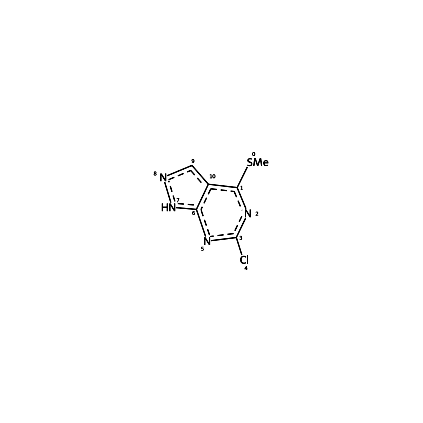 CSc1nc(Cl)nc2[nH]ncc12